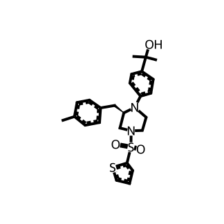 Cc1ccc(C[C@@H]2CN(S(=O)(=O)c3cccs3)CCN2c2ccc(C(C)(C)O)cc2)cc1